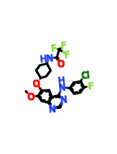 COc1cc2ncnc(Nc3ccc(F)c(Cl)c3)c2cc1O[C@H]1CC[C@@H](NC(=O)C(F)(F)F)CC1